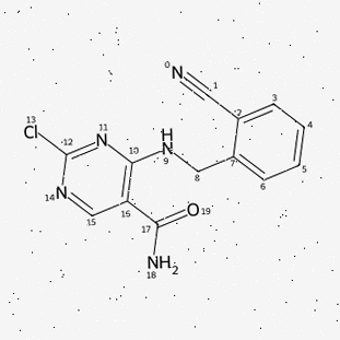 N#Cc1ccccc1CNc1nc(Cl)ncc1C(N)=O